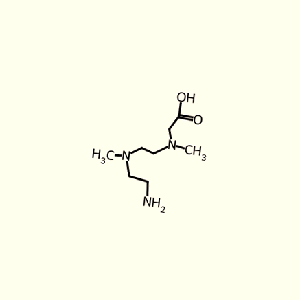 CN(CCN)CCN(C)CC(=O)O